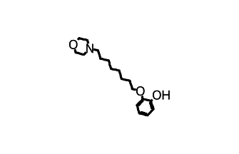 Oc1ccccc1OCCCCCCCCN1CCOCC1